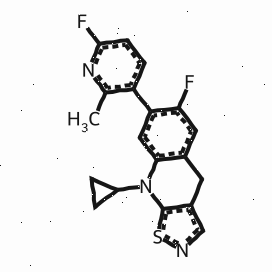 Cc1nc(F)ccc1-c1cc2c(cc1F)Cc1cnsc1N2C1CC1